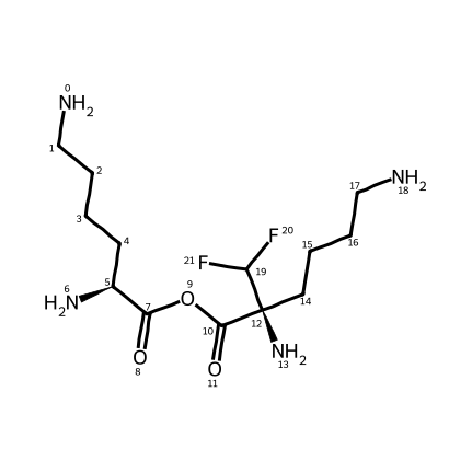 NCCCC[C@H](N)C(=O)OC(=O)[C@@](N)(CCCCN)C(F)F